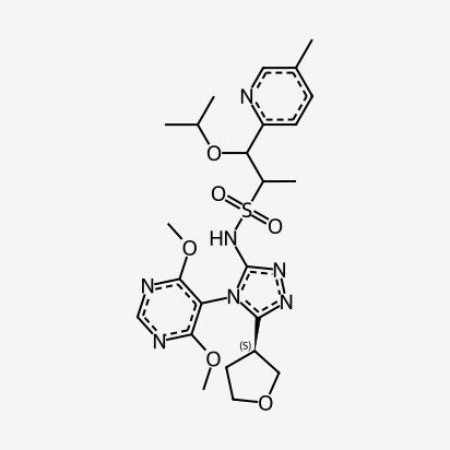 COc1ncnc(OC)c1-n1c(NS(=O)(=O)C(C)C(OC(C)C)c2ccc(C)cn2)nnc1[C@@H]1CCOC1